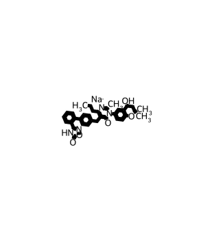 CCCc1nc(C)n(-c2ccc3c(c2)C(O)CC(C)(C)O3)c(=O)c1Cc1ccc(-c2ccccc2-c2noc(=O)[nH]2)cc1.[Na]